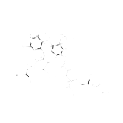 CCC[C@@H](CCOC(C)=O)Nc1nc(N)nc(C)c1Cc1ccc(OCCCN(CC)CCC(=O)OCC)cc1OC